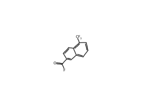 O=C(F)c1ccc2c(C(F)(F)F)cccc2c1